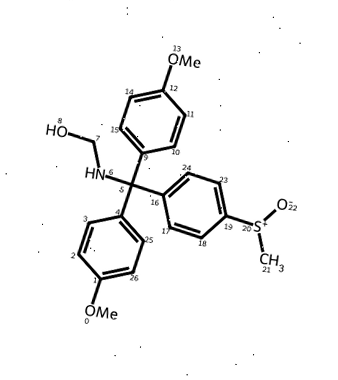 COc1ccc(C(NCO)(c2ccc(OC)cc2)c2ccc([S+](C)[O-])cc2)cc1